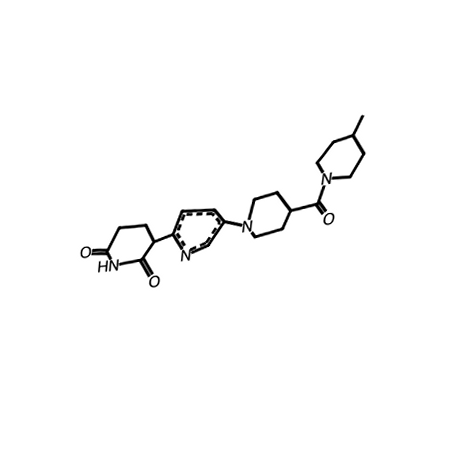 CC1CCN(C(=O)C2CCN(c3ccc(C4CCC(=O)NC4=O)nc3)CC2)CC1